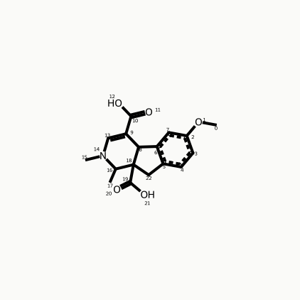 COc1ccc2c(c1)C1C(C(=O)O)=CN(C)C(C)C1(C(=O)O)C2